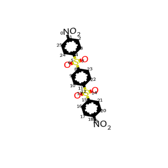 O=[N+]([O-])c1ccc(S(=O)(=O)c2ccc(S(=O)(=O)c3ccc([N+](=O)[O-])cc3)cc2)cc1